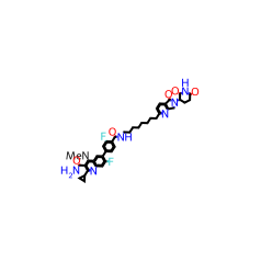 CNc1c(C(N)=O)c(C2CC2)nc2cc(F)c(-c3ccc(C(=O)NCCCCCCCCc4ccc5c(n4)CN(C4CCC(=O)NC4=O)C5=O)c(F)c3)cc12